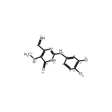 CNc1c(C=N)nc(Nc2ccc(Cl)c(Cl)c2)[nH]c1=O